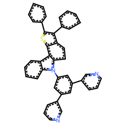 c1ccc(-c2sc3c(ccc4c3c3ccccc3n4-c3cc(-c4cccnc4)cc(-c4cccnc4)c3)c2-c2ccccc2)cc1